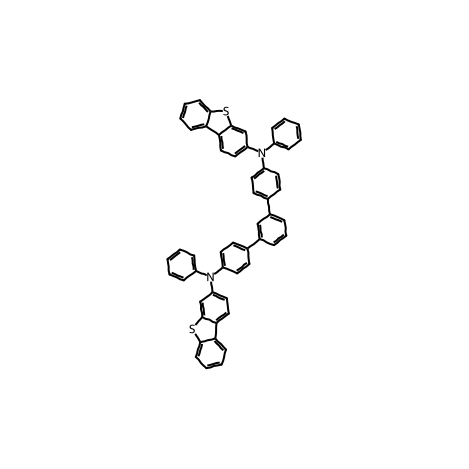 c1ccc(N(c2ccc(-c3cccc(-c4ccc(N(c5ccccc5)c5ccc6c(c5)sc5ccccc56)cc4)c3)cc2)c2ccc3c(c2)sc2ccccc23)cc1